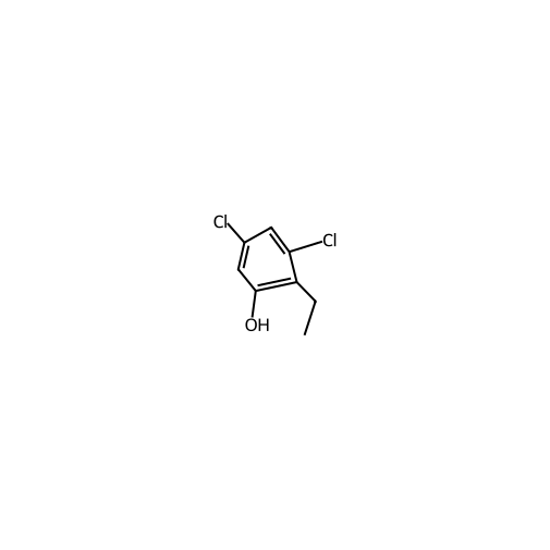 CCc1c(O)cc(Cl)cc1Cl